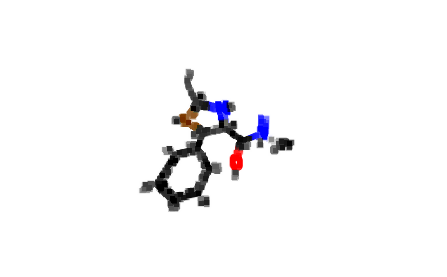 [CH2][C@@H](C)NC(=O)c1nc(C)sc1-c1ccccc1